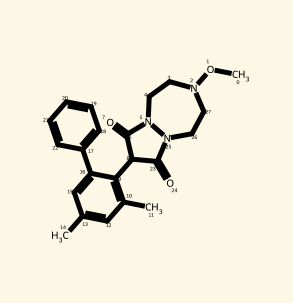 CON1CCN2C(=O)C(c3c(C)cc(C)cc3-c3ccccc3)C(=O)N2CC1